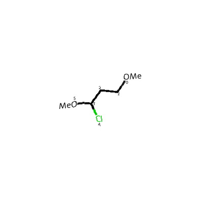 COCCC(Cl)OC